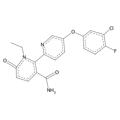 CCn1c(-c2ccc(Oc3ccc(F)c(Cl)c3)cn2)c(C(N)=O)ccc1=O